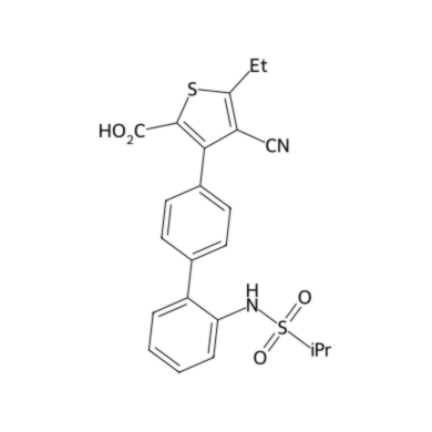 CCc1sc(C(=O)O)c(-c2ccc(-c3ccccc3NS(=O)(=O)C(C)C)cc2)c1C#N